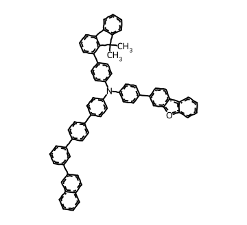 CC1(C)c2ccccc2-c2cccc(-c3ccc(N(c4ccc(-c5ccc(-c6cccc(-c7ccc8ccccc8c7)c6)cc5)cc4)c4ccc(-c5ccc6c(c5)oc5ccccc56)cc4)cc3)c21